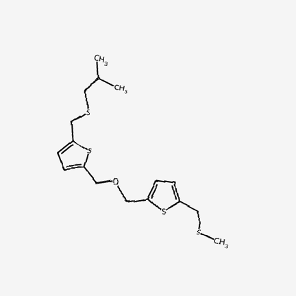 CSCc1ccc(COCc2ccc(CSCC(C)C)s2)s1